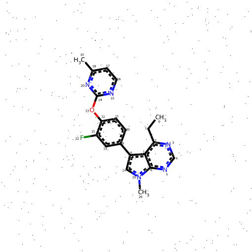 CCc1ncnc2c1c(-c1ccc(Oc3nccc(C)n3)c(F)c1)cn2C